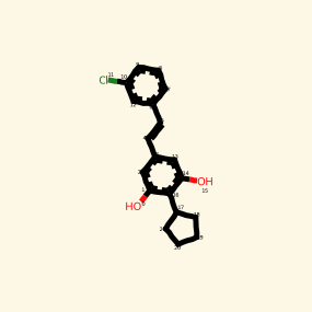 Oc1cc(/C=C/c2cccc(Cl)c2)cc(O)c1C1CCCC1